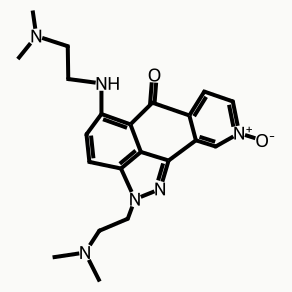 CN(C)CCNc1ccc2c3c(nn2CCN(C)C)-c2c[n+]([O-])ccc2C(=O)c13